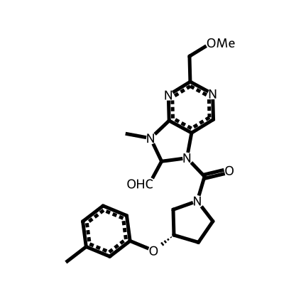 COCc1ncc2c(n1)N(C)C(C=O)N2C(=O)N1CC[C@H](Oc2cccc(C)c2)C1